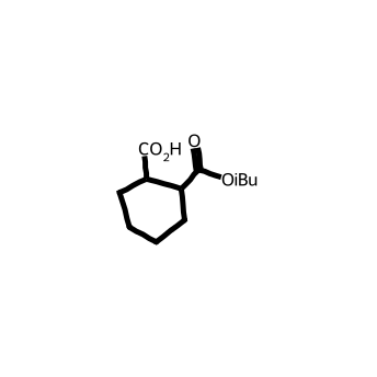 CC(C)COC(=O)C1CCCCC1C(=O)O